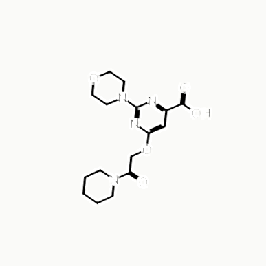 O=C(O)c1cc(OCC(=O)N2CCCCC2)nc(N2CCOCC2)n1